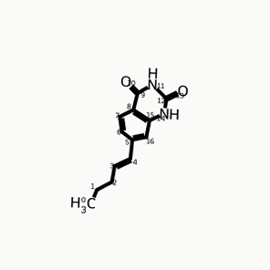 CCC/C=C/c1ccc2c(=O)[nH]c(=O)[nH]c2c1